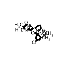 Cc1cc(Cl)cc(C(=O)N2CCCC[C@H]2c2cc3[nH]c(C)c(C)c(=O)n3n2)c1NS(C)(=O)=O